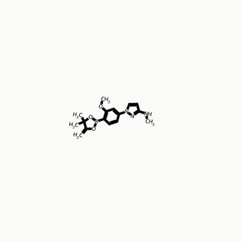 C=C1OB(c2ccc(-n3ccc(NC)n3)cc2OC)OC1(C)C